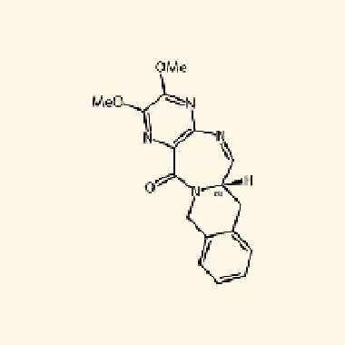 COc1nc2c(nc1OC)C(=O)N1Cc3ccccc3C[C@H]1C=N2